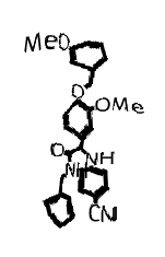 COc1cccc(COc2ccc(C(Nc3ccc(C#N)cc3)C(=O)NCc3ccccc3)cc2OC)c1